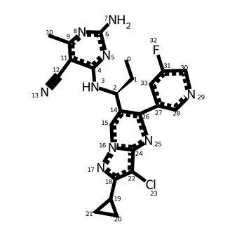 CC[C@H](Nc1nc(N)nc(C)c1C#N)c1cn2nc(C3CC3)c(Cl)c2nc1-c1cncc(F)c1